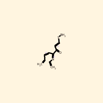 BS/C=C/C(=O)C(/C=C\C=C)=N/C=C